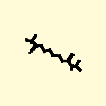 CC(C)NC(=O)CCCCCCC(=O)C(C)C